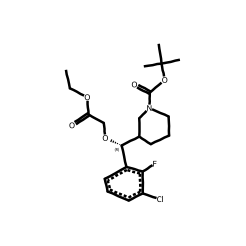 CCOC(=O)CO[C@@H](c1cccc(Cl)c1F)C1CCCN(C(=O)OC(C)(C)C)C1